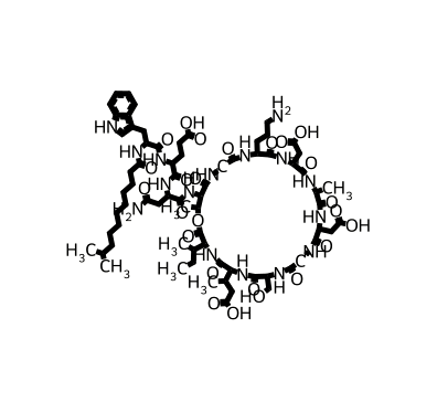 CCC(C)C1NC(=O)C(C(C)CC(=O)O)NC(=O)C(CO)NC(=O)CNC(=O)C(CC(=O)O)NC(=O)C(C)NC(=O)C(CC(=O)O)NC(=O)C(CCCN)NC(=O)CNC(=O)C(NC(=O)C(CC(N)=O)NC(=O)C(CCC(=O)O)NC(=O)C(Cc2c[nH]c3ccccc23)NC(=O)CCCCCCCCC(C)C)C(C)OC1=O